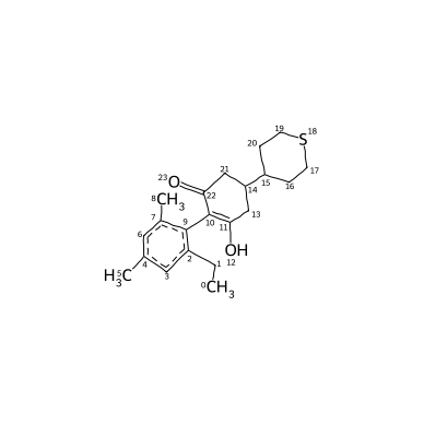 CCc1cc(C)cc(C)c1C1=C(O)CC(C2CCSCC2)CC1=O